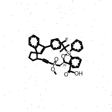 COP(=O)(C#CC1CCCC12C=C(c1ccc(F)cc1)c1ccccc12)C[C@H](CC(=O)O)O[Si](c1ccccc1)(c1ccccc1)C(C)(C)C